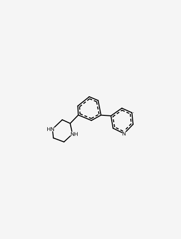 [c]1cncc(-c2cccc(C3CNCCN3)c2)c1